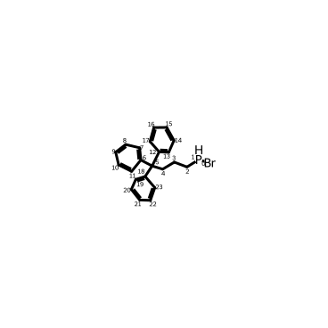 BrPCCCC(c1ccccc1)(c1ccccc1)c1ccccc1